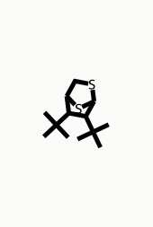 CC(C)(C)C1C2CSC(S2)C1C(C)(C)C